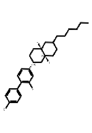 CCCCCCC1CC[C@@H]2C[C@H](c3ccc(-c4ccc(Cl)cc4)c(F)c3)CC[C@@H]2C1